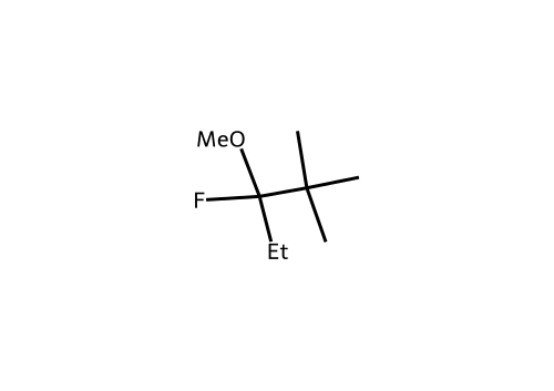 CCC(F)(OC)C(C)(C)C